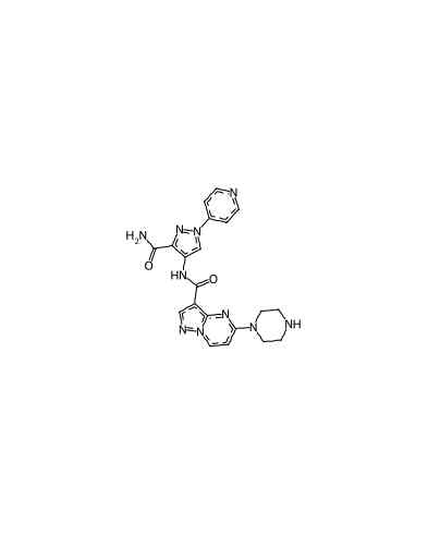 NC(=O)c1nn(-c2ccncc2)cc1NC(=O)c1cnn2ccc(N3CCNCC3)nc12